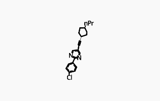 CCC[C@H]1CC[C@H](C#Cc2cnc(-c3ccc(Cl)cc3)nc2)CC1